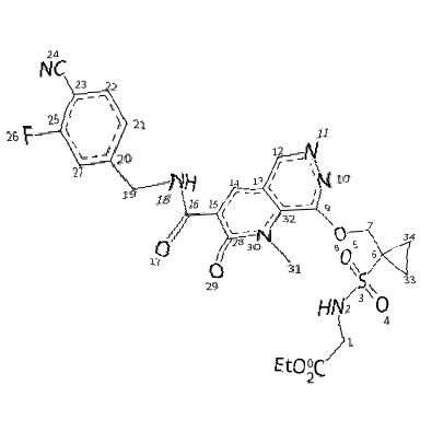 CCOC(=O)CNS(=O)(=O)C1(COc2nncc3cc(C(=O)NCc4ccc(C#N)c(F)c4)c(=O)n(C)c23)CC1